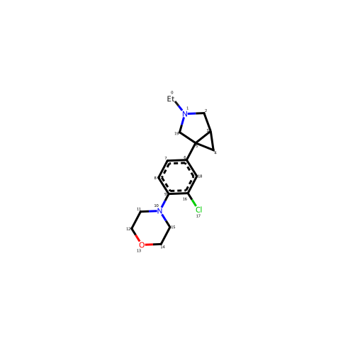 CCN1CC2CC2(c2ccc(N3CCOCC3)c(Cl)c2)C1